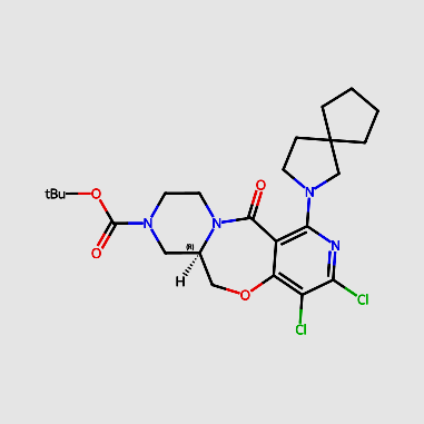 CC(C)(C)OC(=O)N1CCN2C(=O)c3c(N4CCC5(CCCC5)C4)nc(Cl)c(Cl)c3OC[C@H]2C1